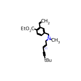 C=Cc1cc(CN(C)C/C=C/C#CC(C)(C)C)ccc1C(=O)OCC